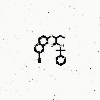 C#Cc1cnc2ccc(OC(CC)C(=O)NC(C)(C)c3ccccn3)cc2c1